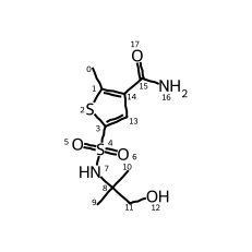 Cc1sc(S(=O)(=O)NC(C)(C)CO)cc1C(N)=O